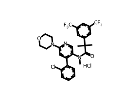 CN(C(=O)C(C)(C)c1cc(C(F)(F)F)cc(C(F)(F)F)c1)c1cnc(N2CCOCC2)cc1-c1ccccc1Cl.Cl